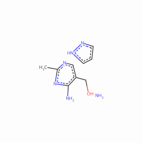 Cc1ncc(CO)c(N)n1.N.c1cn[nH]c1